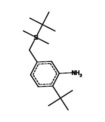 CC(C)(C)c1ccc(C[Si](C)(C)C(C)(C)C)cc1N